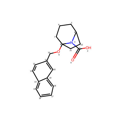 O=C(O)N1C2CCCC1(OCc1ccc3ccccc3c1)CC2